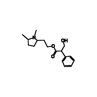 CC1CCC(CCOC(=O)C(CO)c2ccccc2)N1C